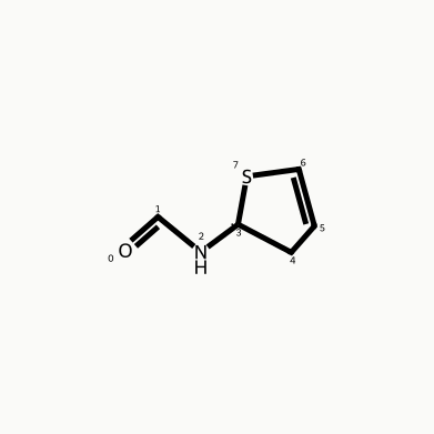 O=CN[C]1CC=CS1